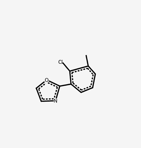 Cc1cccc(-c2ncco2)c1Cl